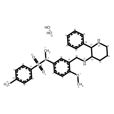 COc1ccc(N(C)S(=O)(=O)c2ccc(C)cc2)cc1CNC1CCCNC1c1ccccc1.Cl.Cl